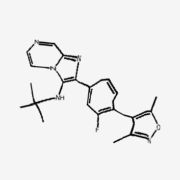 Cc1noc(C)c1-c1ccc(-c2nc3cnccn3c2NC(C)(C)C)cc1F